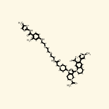 CC(=O)N1CCc2c(c(N3CCCc4cc(-c5cnn(C)c5)c(C(F)F)cc43)nn2C2CCN(CC(=O)NCCOCCOCCNc3ccc(C(=O)Nc4ncc(C)s4)c(C)c3)CC2)C1